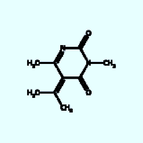 CC1=NC(=O)N(C)C(=O)C1=C(C)C